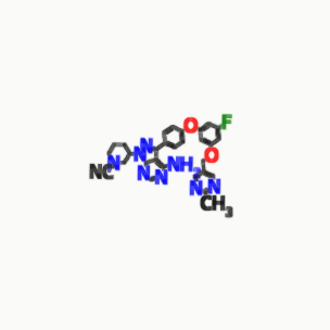 Cc1ncc(COc2cc(F)cc(Oc3ccc(-c4nn([C@@H]5CCCN(C#N)C5)c5ncnc(N)c45)cc3)c2)cn1